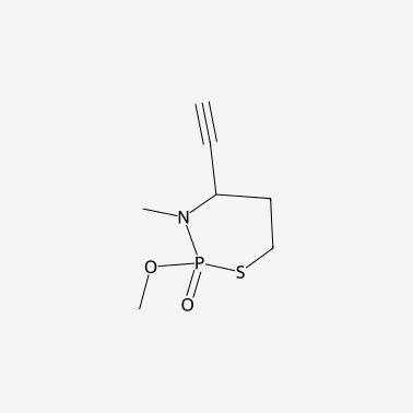 C#CC1CCSP(=O)(OC)N1C